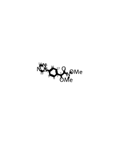 COC(C(=O)N(C)OC)c1ccc(-n2cncn2)cc1